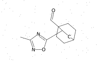 Cc1noc(C2CC3CCC2(C=O)CC3)n1